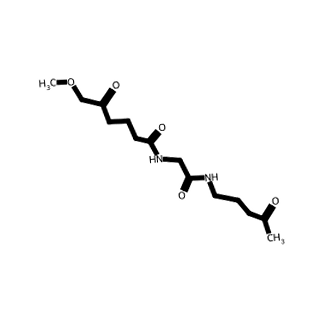 COCC(=O)CCCC(=O)NCC(=O)NCCCC(C)=O